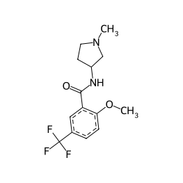 COc1ccc(C(F)(F)F)cc1C(=O)NC1CCN(C)C1